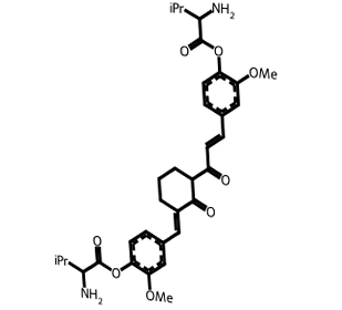 COc1cc(C=CC(=O)C2CCCC(=Cc3ccc(OC(=O)C(N)C(C)C)c(OC)c3)C2=O)ccc1OC(=O)C(N)C(C)C